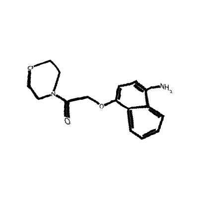 Nc1ccc(OCC(=O)N2CCOCC2)c2ccccc12